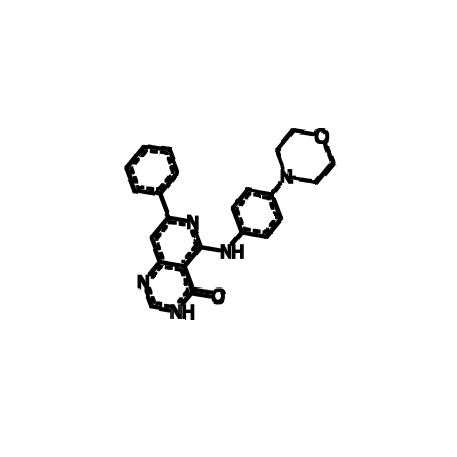 O=c1[nH]cnc2cc(-c3ccccc3)nc(Nc3ccc(N4CCOCC4)cc3)c12